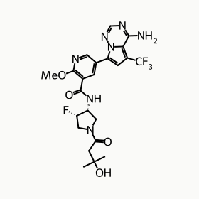 COc1ncc(-c2cc(C(F)(F)F)c3c(N)ncnn23)cc1C(=O)N[C@@H]1CN(C(=O)CC(C)(C)O)C[C@@H]1F